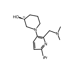 CC(C)c1ccc(N2CCC[C@H](O)C2)c(CN(C)C)n1